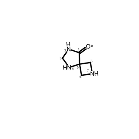 O=C1NCNC12CNC2